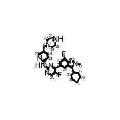 Cn1nc2c(F)cc(-c3nc(Nc4ccc(CN5CCNCC5)cn4)ncc3F)cc2c1C1CCCCC1